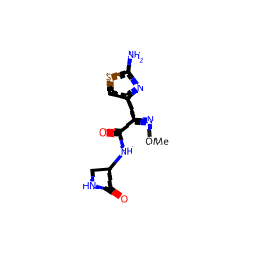 CON=C(C(=O)NC1CNC1=O)c1csc(N)n1